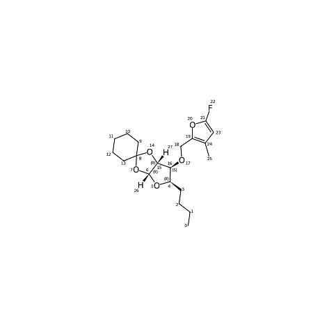 CCCC[C@H]1O[C@@H]2OC3(CCCCC3)O[C@@H]2[C@H]1OCc1oc(F)cc1C